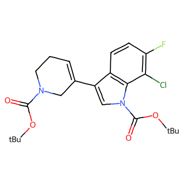 CC(C)(C)OC(=O)N1CCC=C(c2cn(C(=O)OC(C)(C)C)c3c(Cl)c(F)ccc23)C1